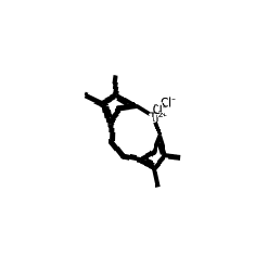 CC1=C2CCC3=C(C)C(C)=[C](C3)[Ti+2][C](=C1C)C2.[Cl-].[Cl-]